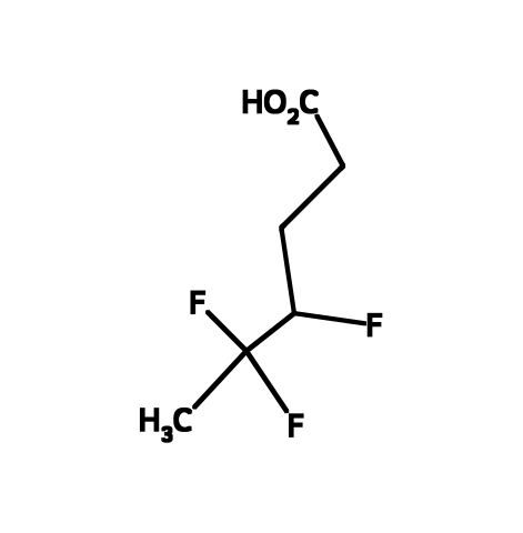 CC(F)(F)C(F)CCC(=O)O